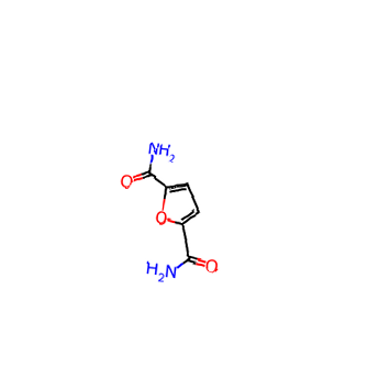 NC(=O)c1ccc(C(N)=O)o1